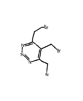 BrCc1nnnc(CBr)c1CBr